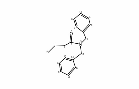 [CH2]CCC(=O)N(Cc1ccccc1)Cc1ccccc1